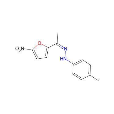 CC(=NNc1ccc(C)cc1)c1ccc([N+](=O)[O-])o1